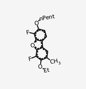 CCCCCOc1ccc2c(oc3c(F)c(OCC)c(C)cc32)c1F